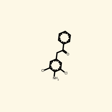 Nc1c(Cl)cc(CC(=O)c2ccccc2)cc1Cl